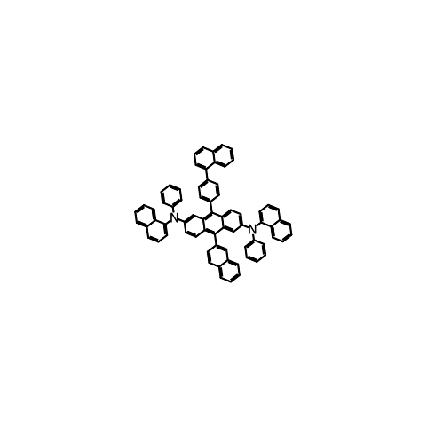 c1ccc(N(c2ccc3c(-c4ccc5ccccc5c4)c4cc(N(c5ccccc5)c5cccc6ccccc56)ccc4c(-c4ccc(-c5cccc6ccccc56)cc4)c3c2)c2cccc3ccccc23)cc1